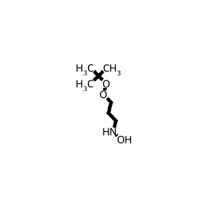 CC(C)(C)OOCCCNO